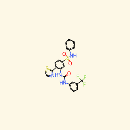 O=C(Nc1cccc(C(F)(F)F)c1)Nc1cc(S(=O)(=O)Nc2ccccc2)ccc1-c1nccs1